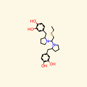 CCSCC(N1CCCC1Cc1ccc(O)c(O)c1)N1CCCC1Cc1ccc(O)c(O)c1